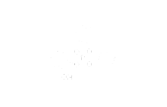 O=P(Oc1ccccc1)(Oc1ccccc1)Oc1ccccc1O